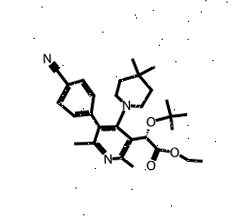 CCOC(=O)[C@@H](OC(C)(C)C)c1c(C)nc(C)c(-c2ccc(C#N)cc2)c1N1CCC(C)(C)CC1